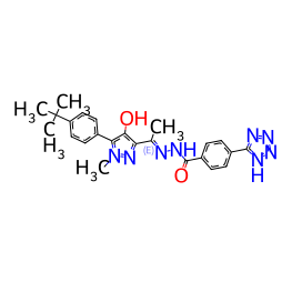 C/C(=N\NC(=O)c1ccc(-c2nnn[nH]2)cc1)c1nn(C)c(-c2ccc(C(C)(C)C)cc2)c1O